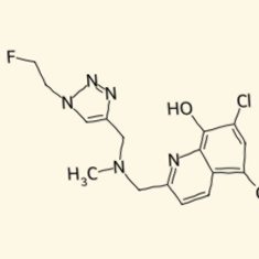 CN(Cc1cn(CCF)nn1)Cc1ccc2c(Cl)cc(Cl)c(O)c2n1